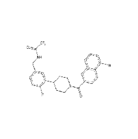 O=C(c1ccc2c(Br)cccc2c1)N1CCC(c2cc(CNC(=O)C(F)(F)F)ccc2F)CC1